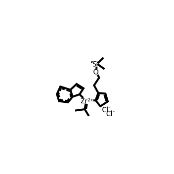 C[C](C)=[Zr+2]([C]1=C(CCO[Si](C)(C)C)C=CC1)[CH]1C=Cc2ccccc21.[Cl-].[Cl-]